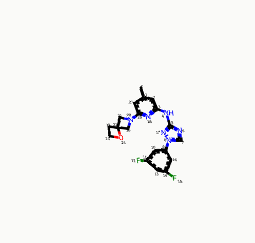 Cc1cc(Nc2ncn(-c3cc(F)cc(F)c3)n2)nc(N2CC3(CCO3)C2)c1